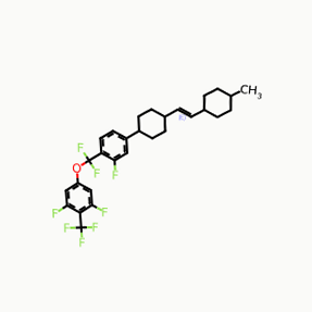 CC1CCC(/C=C/C2CCC(c3ccc(C(F)(F)Oc4cc(F)c(C(F)(F)F)c(F)c4)c(F)c3)CC2)CC1